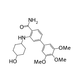 COc1cc(-c2ccc(C(N)=O)c(NC3CCC(O)CC3)c2)cc(OC)c1OC